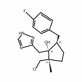 C[C@]1(CCl)CC[C@H](Cc2ccc(F)cc2)[C@]1(O)Cc1nc[nH]n1